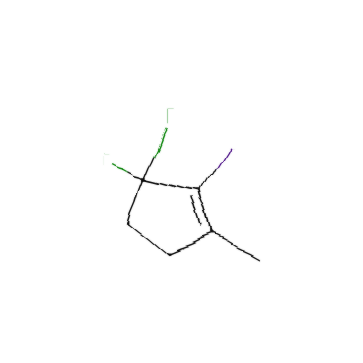 CC1=C(I)C(F)(F)CC1